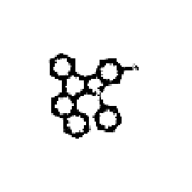 Brc1ccc2c3c4ccccc4c4ccc5ccccc5c4c3n(-c3ccccc3)c2c1